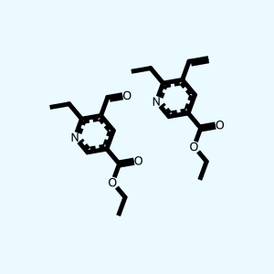 C=Cc1cc(C(=O)OCC)cnc1CC.CCOC(=O)c1cnc(CC)c(C=O)c1